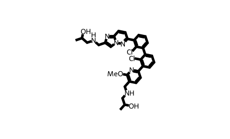 COc1nc(-c2cccc(-c3cccc(-c4ccc5nc(CNCC(C)O)cn5n4)c3Cl)c2Cl)ccc1CNCC(C)O